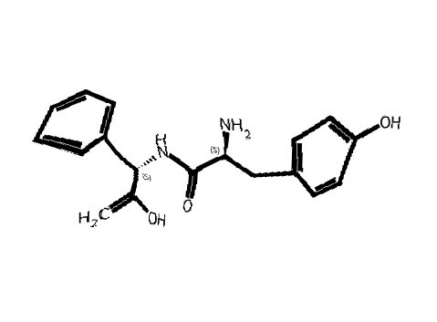 C=C(O)[C@@H](NC(=O)[C@@H](N)Cc1ccc(O)cc1)c1ccccc1